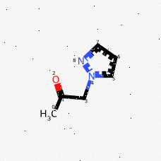 CC(=O)Cn1c[c]cn1